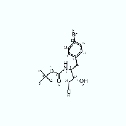 CC(C)(C)OC(=O)N[C@@H](Cc1ccc(Br)cc1)[C@H](O)CCl